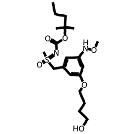 CCCC(C)(C)OC(=O)N=S(C)(=O)Cc1cc(NOC)cc(OCCCCO)c1